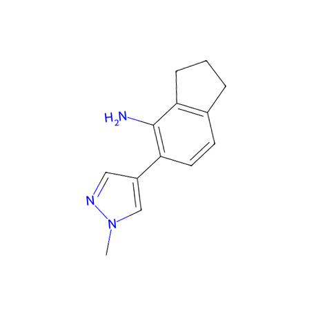 Cn1cc(-c2ccc3c(c2N)CCC3)cn1